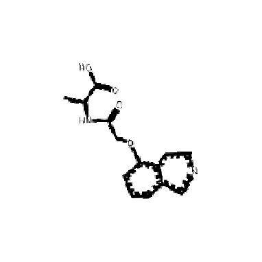 CC(NC(=O)COc1cccc2cnccc12)C(=O)O